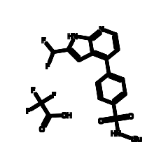 CC(C)(C)NS(=O)(=O)c1ccc(-c2ccnc3[nH]c(C(F)F)cc23)cc1.O=C(O)C(F)(F)F